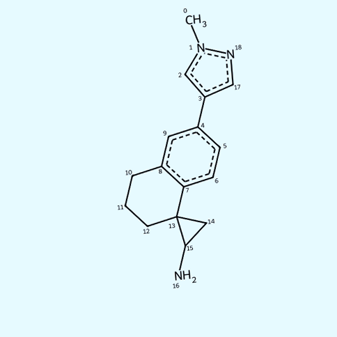 Cn1cc(-c2ccc3c(c2)CCCC32CC2N)cn1